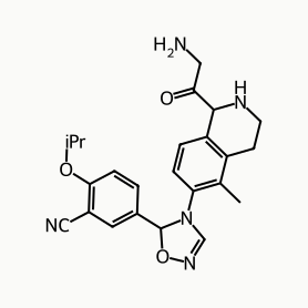 Cc1c(N2C=NOC2c2ccc(OC(C)C)c(C#N)c2)ccc2c1CCNC2C(=O)CN